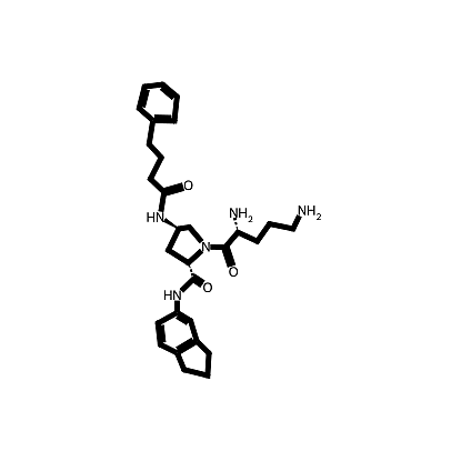 NCCC[C@@H](N)C(=O)N1C[C@H](NC(=O)CCCc2ccccc2)C[C@H]1C(=O)Nc1ccc2c(c1)CCC2